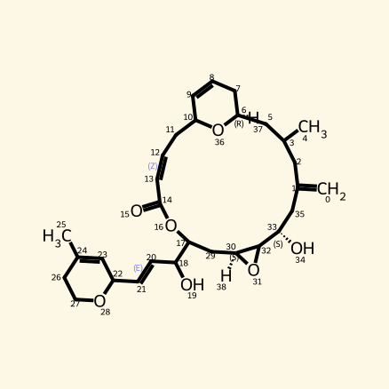 C=C1CC(C)C[C@@H]2CC=CC(C/C=C\C(=O)OC(C(O)/C=C/C3C=C(C)CCO3)C[C@@H]3OC3[C@@H](O)C1)O2